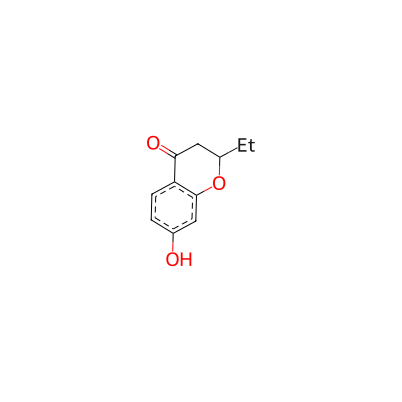 CCC1CC(=O)c2ccc(O)cc2O1